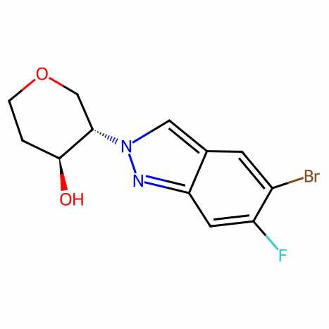 O[C@H]1CCOC[C@@H]1n1cc2cc(Br)c(F)cc2n1